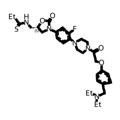 CCC(=S)NC[C@H]1CN(c2ccc(N3CCN(C(=O)COc4ccc(CN(CC)CC)cc4)CC3)c(F)c2)C(=O)O1